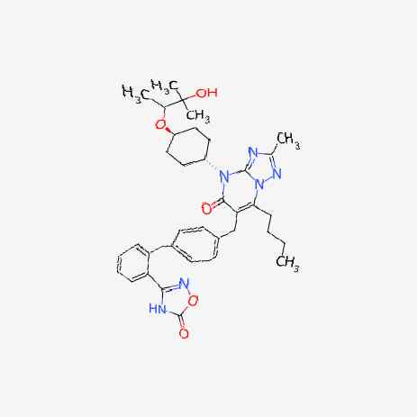 CCCCc1c(Cc2ccc(-c3ccccc3-c3noc(=O)[nH]3)cc2)c(=O)n([C@H]2CC[C@H](OC(C)C(C)(C)O)CC2)c2nc(C)nn12